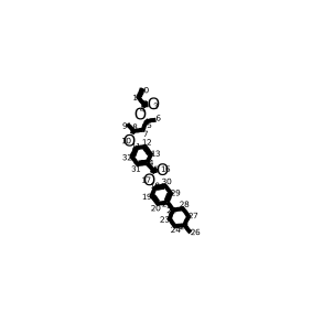 C=CC(=O)OC(C)CC(C)Oc1ccc(C(=O)Oc2ccc(C3CCC(C)CC3)cc2)cc1